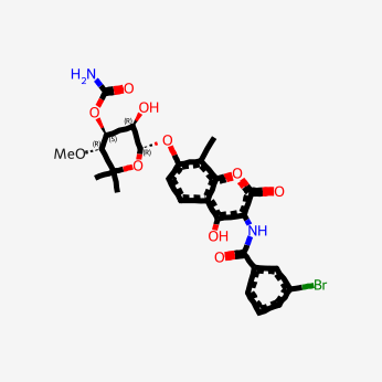 CO[C@@H]1[C@@H](OC(N)=O)[C@@H](O)[C@H](Oc2ccc3c(O)c(NC(=O)c4cccc(Br)c4)c(=O)oc3c2C)OC1(C)C